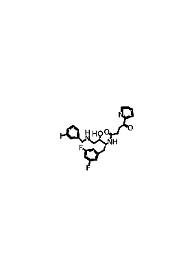 O=C(CCC(=O)c1ccccn1)N[C@@H](Cc1cc(F)cc(F)c1)[C@H](O)CNCc1cccc(I)c1